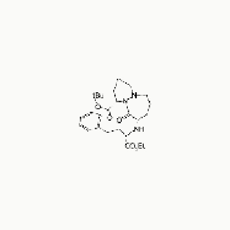 CCOC(=O)[C@H](CCc1ccccc1)N[C@H]1CCCN2CCC[C@@H](C(=O)OC(C)(C)C)N2C1=O